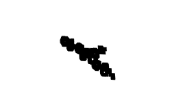 CC(=O)c1ccc(CC(C(=O)Nc2ccc(-c3cc4ccccc4o3)cc2)c2ccc(Br)cc2)cc1